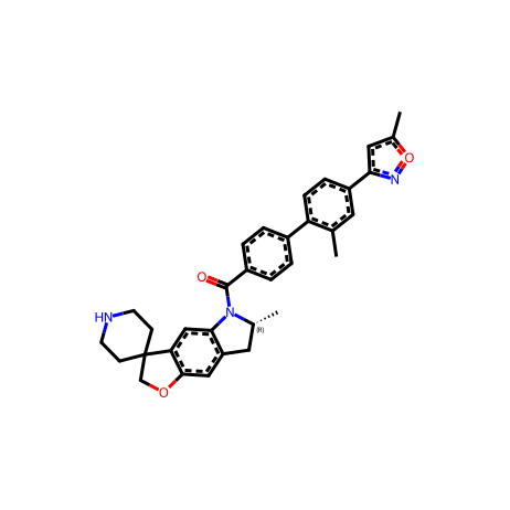 Cc1cc(-c2ccc(-c3ccc(C(=O)N4c5cc6c(cc5C[C@H]4C)OCC64CCNCC4)cc3)c(C)c2)no1